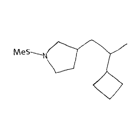 CSN1CCC(CC(C)C2CCC2)C1